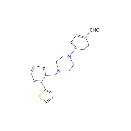 O=[C]c1ccc(N2CCN(Cc3ccccc3-c3cccs3)CC2)cc1